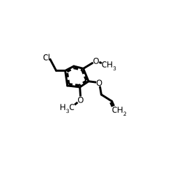 C=CCOc1c(OC)cc(CCl)cc1OC